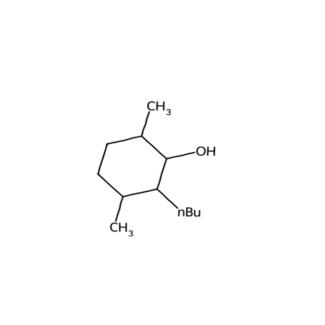 CCCCC1C(C)CCC(C)C1O